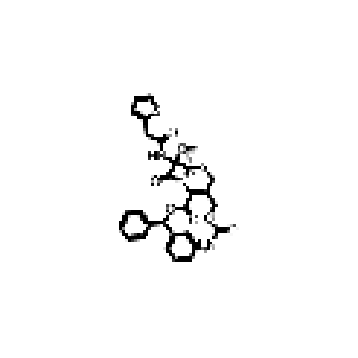 COC1(NC(=O)Cc2cccs2)C(=O)N2C(C(=O)OC(c3ccccc3)c3ccccc3)=C(COC(N)=O)CS[C@@H]21